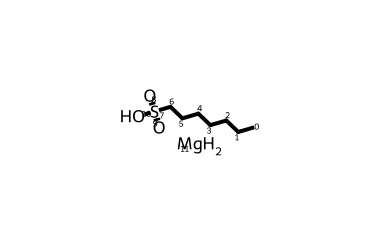 CCCCCCCS(=O)(=O)O.[MgH2]